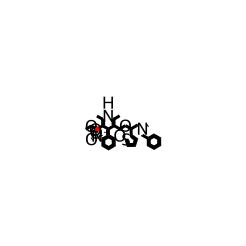 COC(=O)C1=C(C)NC(C)=C(C(=O)OC(CN(C)Cc2ccccc2)c2cccs2)C1c1ccccc1[N+](=O)[O-]